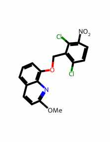 COc1ccc2cccc(OCc3c(Cl)ccc([N+](=O)[O-])c3Cl)c2n1